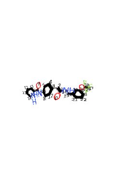 O=C(C[C@H]1CC[C@@H](NC(=O)[C@@H]2CCCCN2)CC1)NCc1cccc(OC(F)(F)F)c1